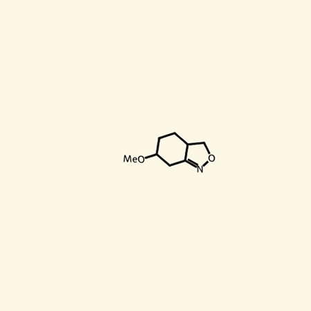 COC1CCC2CON=C2C1